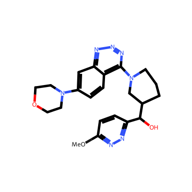 COc1ccc(C(O)C2CCCN(c3nnnc4cc(N5CCOCC5)ccc34)C2)nn1